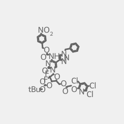 CC(C)(C)OC(=O)OC1C(COC(=O)COc2nc(Cl)c(Cl)cc2Cl)O[C@@H](n2cc(-c3cn(Cc4ccccc4)nn3)c(NC(=O)OCc3ccc([N+](=O)[O-])cc3)nc2=O)C1(F)F